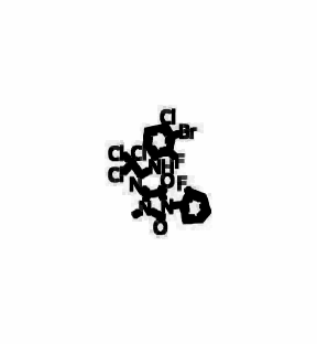 CN1C(=O)N(c2ccccc2F)C(=O)/C1=N\C(Nc1ccc(Cl)c(Br)c1F)C(Cl)(Cl)Cl